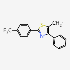 [CH2]c1sc(-c2ccc(C(F)(F)F)cc2)nc1-c1ccccc1